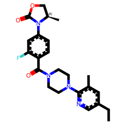 CCc1cnc(N2CCN(C(=O)c3ccc(N4C(=O)OC[C@H]4C)cc3F)CC2)c(C)c1